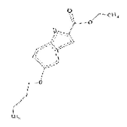 CCCCOc1ccc2oc(C(=O)OCC)cc2c1